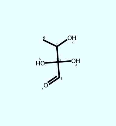 CC(O)C(O)(O)C=O